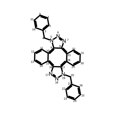 c1ccc(Cn2nnc3/c2=c2/cccc/c2=c2\nnn(Cc4ccccc4)\c2=c2/cccc/c2=3)cc1